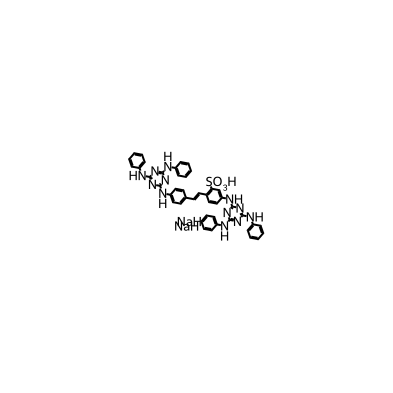 O=S(=O)(O)c1cc(Nc2nc(Nc3ccccc3)nc(Nc3ccccc3)n2)ccc1C=Cc1ccc(Nc2nc(Nc3ccccc3)nc(Nc3ccccc3)n2)cc1.[NaH].[NaH]